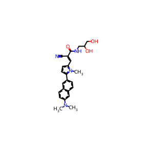 CN(C)c1ccc2cc(-c3ccc(/C=C(\C#N)C(=O)NCC(O)CO)n3C)ccc2c1